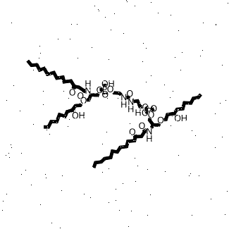 CCCCCCCCCCCC(=O)CC(=O)NC(COCC[C@H](O)CCCCCCC)COP(=O)(O)OCCNC(=O)NCCOP(=O)(O)OCC(COCC[C@H](O)CCCCCCC)NC(=O)CC(=O)CCCCCCCCCCC